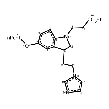 CCCCCOc1ccc2c(c1)C(CCn1ccnc1)CN2CCC(=O)OCC